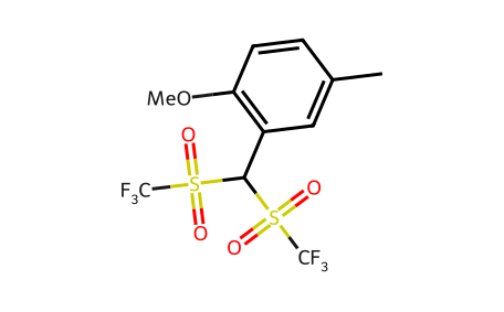 COc1ccc(C)cc1C(S(=O)(=O)C(F)(F)F)S(=O)(=O)C(F)(F)F